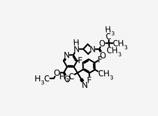 CCOC(=O)c1cnc(NC2CN(C(=O)OC(C)(C)C)C2)c(F)c1C(C)(C#N)c1ccc(F)c(C)c1F